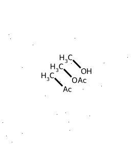 CC(C)=O.CO.COC(C)=O